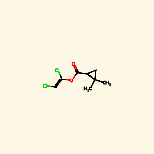 CC1(C)CC1C(=O)OC(Cl)=CCl